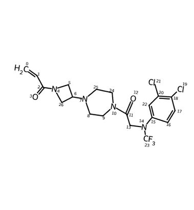 C=CC(=O)N1CC(N2CCN(C(=O)CN(c3ccc(Cl)c(Cl)c3)C(F)(F)F)CC2)C1